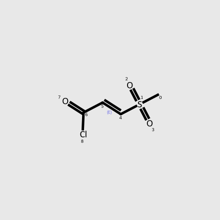 CS(=O)(=O)/C=C/C(=O)Cl